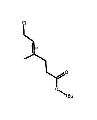 C/C(=C\CCl)CCC(=O)OC(C)(C)C